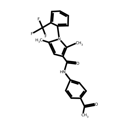 CC(=O)c1ccc(NC(=O)c2cc(C)n(-c3ccccc3C(F)(F)F)c2C)cc1